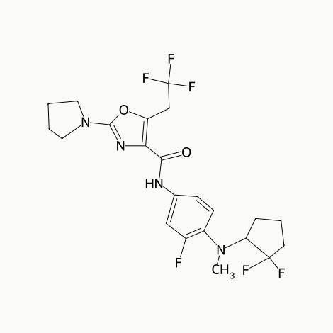 CN(c1ccc(NC(=O)c2nc(N3CCCC3)oc2CC(F)(F)F)cc1F)C1CCCC1(F)F